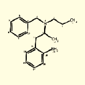 CCCN(Cc1ccccc1)C(C)Cc1ccccc1N